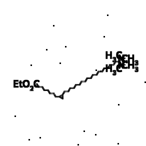 CCOC(=O)CCCCCCCC1CC1CCCCCCCCCCCCCCCCCCCC(N(C)C)N(C)C